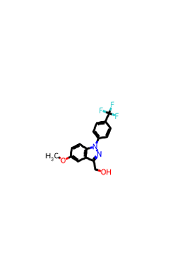 COc1ccc2c(c1)c(CO)nn2-c1ccc(C(F)(F)F)cc1